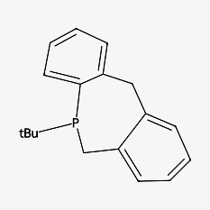 CC(C)(C)P1Cc2ccccc2Cc2ccccc21